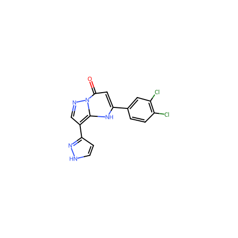 O=c1cc(-c2ccc(Cl)c(Cl)c2)[nH]c2c(-c3cc[nH]n3)cnn12